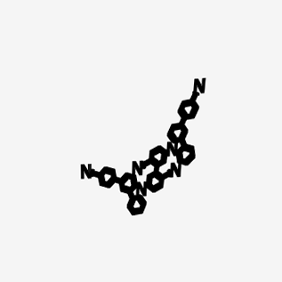 N#Cc1ccc(-c2ccc3c(c2)c2ccccc2n3-c2ccc(C#N)c(-c3cc(-n4c5ccccc5c5cc(-c6ccc(C#N)cc6)ccc54)ccc3C#N)c2)cc1